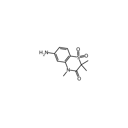 CN1C(=O)C(C)(C)S(=O)(=O)c2ccc(N)cc21